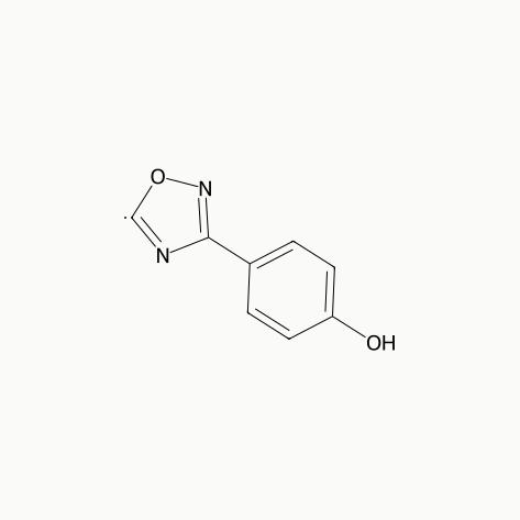 Oc1ccc(-c2n[c]on2)cc1